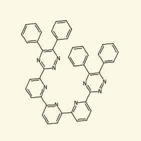 c1ccc(-c2nnc(-c3cccc(-c4cccc(-c5cccc(-c6nnc(-c7ccccc7)c(-c7ccccc7)n6)n5)n4)n3)nc2-c2ccccc2)cc1